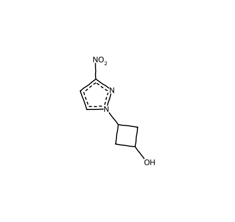 O=[N+]([O-])c1ccn(C2CC(O)C2)n1